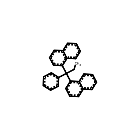 CCC(c1ccccc1)(c1cccc2ccccc12)c1cccc2ccccc12